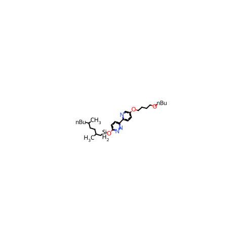 CCCCOCCCCOc1ccc(-c2ccc(O[SiH2]CC(C)CCC(C)CCCC)nn2)nc1